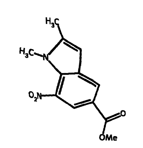 COC(=O)c1cc([N+](=O)[O-])c2c(c1)cc(C)n2C